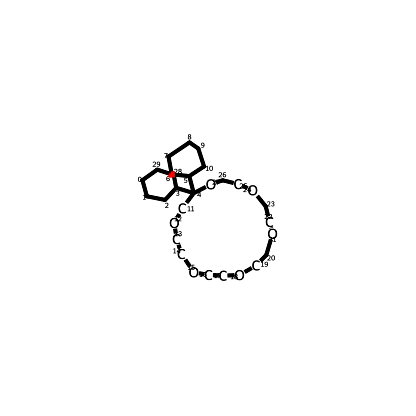 C1CCC(C2(C3CCCCC3)COCCOCCOCCOCCOCCO2)CC1